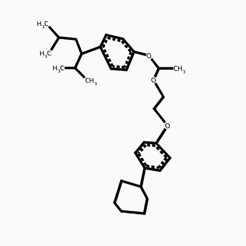 CC(C)CC(c1ccc(OC(C)OCCOc2ccc(C3CCCCC3)cc2)cc1)C(C)C